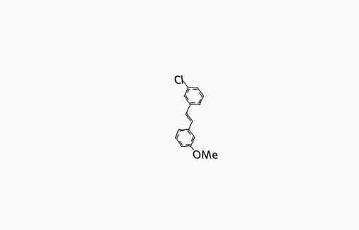 COc1cccc(/C=C/c2cccc(Cl)c2)c1